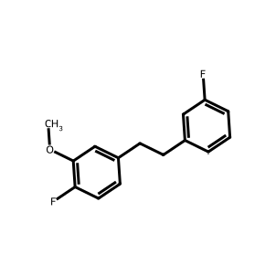 COc1cc(CCc2[c]ccc(F)c2)ccc1F